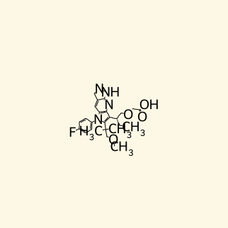 CC[C@H](COCC(=O)O)c1c(C(C)(C)COC)n(-c2ccc(F)cc2)c2cc3cn[nH]c3nc12